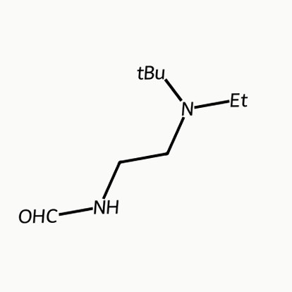 CCN(CCNC=O)C(C)(C)C